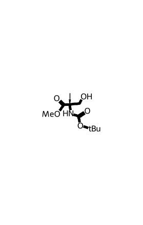 COC(=O)[C@](I)(CO)NC(=O)OC(C)(C)C